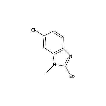 C[CH]c1nc2ccc(Cl)cc2n1C